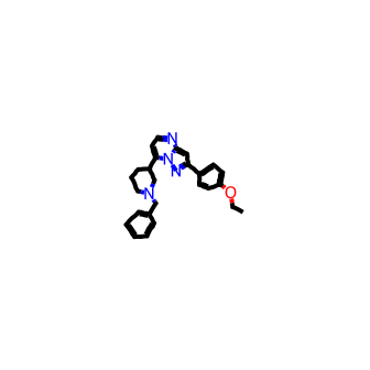 CCOc1ccc(-c2cc3nccc(C4CCCN(Cc5ccccc5)C4)n3n2)cc1